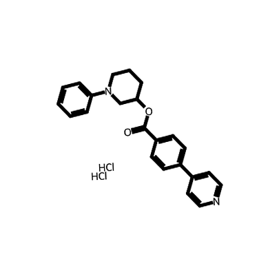 Cl.Cl.O=C(OC1CCCN(c2ccccc2)C1)c1ccc(-c2ccncc2)cc1